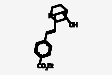 CCOC(=O)c1ccc(C=CC2C(O)C3CCN2CC3)cc1